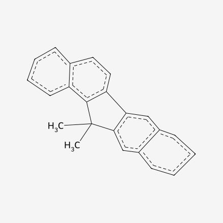 CC1(C)c2cc3ccccc3cc2-c2ccc3ccccc3c21